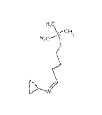 C[Si](C)(C)SCCC/C=N\C1CC1